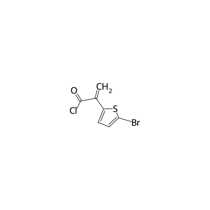 C=C(C(=O)Cl)c1ccc(Br)s1